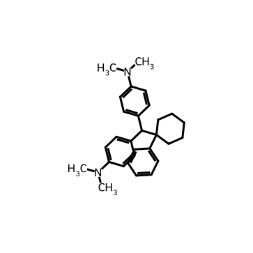 CN(C)c1ccc(C(c2ccc(N(C)C)cc2)C2(c3ccccc3)CCCCC2)cc1